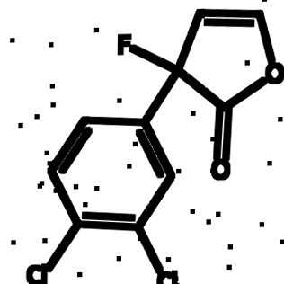 O=C1OC=CC1(F)c1ccc(Cl)c(Cl)c1